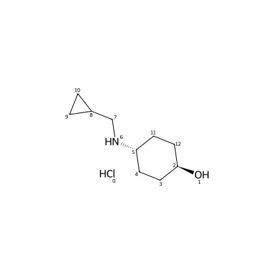 Cl.O[C@H]1CC[C@H](NCC2CC2)CC1